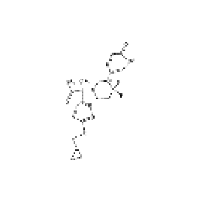 CC(C(N)=O)(c1ccc(OCC2CC2)nn1)N1CCC(F)(F)[C@@H](c2c[nH]c(=O)cn2)C1